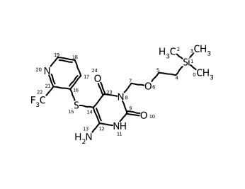 C[Si](C)(C)CCOCn1c(=O)[nH]c(N)c(Sc2cccnc2C(F)(F)F)c1=O